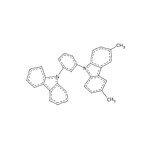 Cc1ccc2c(c1)c1cc(C)ccc1n2-c1cccc(-n2c3ccccc3c3ccccc32)c1